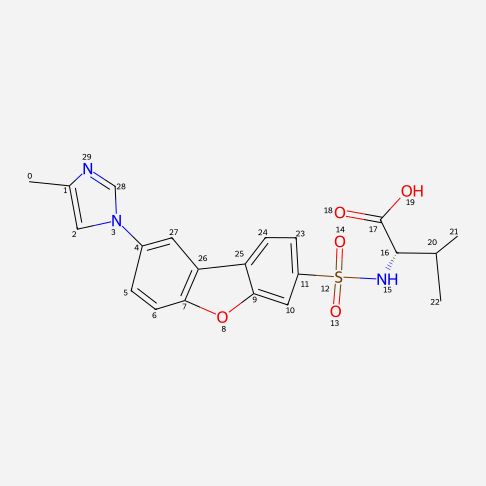 Cc1cn(-c2ccc3oc4cc(S(=O)(=O)N[C@H](C(=O)O)C(C)C)ccc4c3c2)cn1